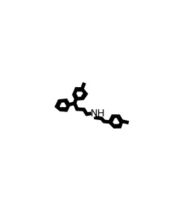 Cc1ccc(CCCNCCCC(c2ccccc2)c2ccc(C)cc2)cc1